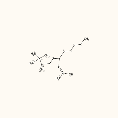 CC(=O)O.CCCCCCCCC(C)C(C)(C)N